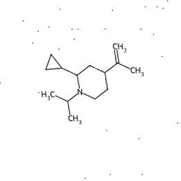 C=C(C)C1CCN(C(C)C)C(C2CC2)C1